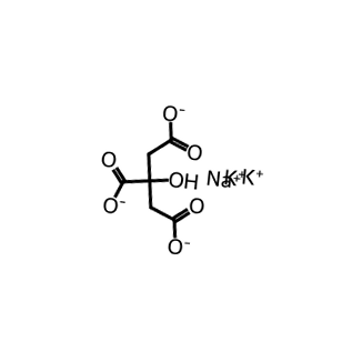 O=C([O-])CC(O)(CC(=O)[O-])C(=O)[O-].[K+].[K+].[Na+]